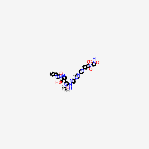 [2H]C([2H])([2H])Oc1ncc(-c2ccnc(N3CCn4c(cc5c4CC(C)(C)C5)C3=O)c2C(C)(C)O)cc1Nc1ccc(N2CCN(C3CCN(c4ccc5c(c4)C(=O)N(C4CCC(=O)NC4=O)C5=O)CC3)C[C@@H]2C)cn1